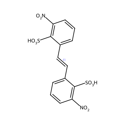 O=[N+]([O-])c1cccc(/C=C/c2cccc([N+](=O)[O-])c2S(=O)(=O)O)c1S(=O)(=O)O